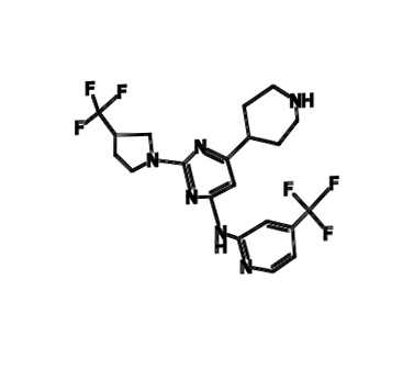 FC(F)(F)c1ccnc(Nc2cc(C3CCNCC3)nc(N3CCC(C(F)(F)F)C3)n2)c1